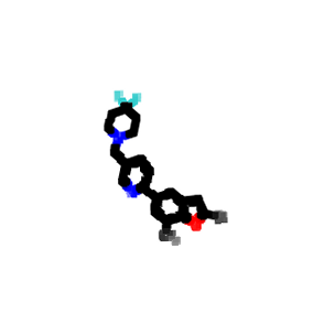 CCc1cc2cc(-c3ccc(CN4CCC(F)(F)CC4)cn3)cc(C(F)(F)F)c2o1